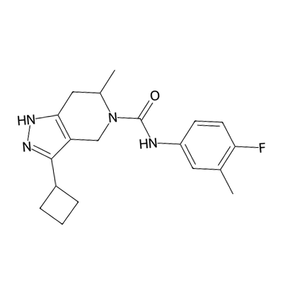 Cc1cc(NC(=O)N2Cc3c(C4CCC4)n[nH]c3CC2C)ccc1F